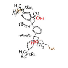 CCCCCC(C[Si](C)(O)CCCS)(c1ccc([Si](C)(C)C(C)(C)C)cc1)c1cccc(C(CCCCC)(C[Si](C)(O)CCCS)c2ccc([Si](C)(C)C(C)(C)C)cc2)c1